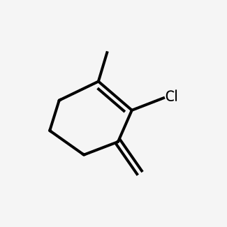 C=C1CCCC(C)=C1Cl